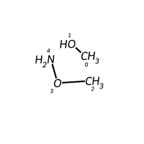 CO.CON